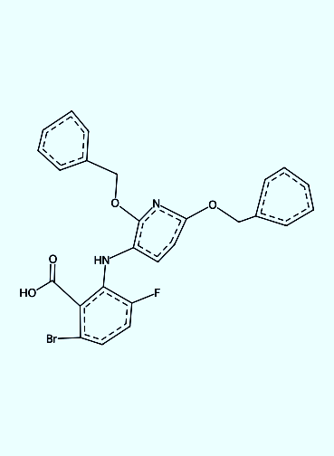 O=C(O)c1c(Br)ccc(F)c1Nc1ccc(OCc2ccccc2)nc1OCc1ccccc1